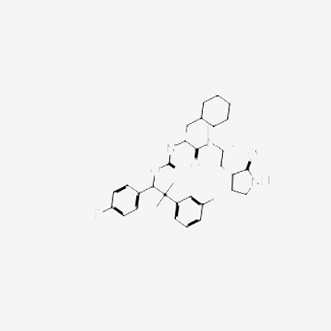 CC(C)(c1cccc(Cl)c1)C(OC(=O)N[C@@H](CC1CCCCC1)C(=O)N[C@@H](C[C@@H]1CCNC1=O)C(=O)O)c1ccc(F)cc1